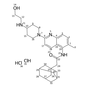 Cc1ccc2nc(N3CCC(NCCO)CC3)ccc2c1NC(=O)CC12CC3CC(CC(C3)C1)C2.Cl.Cl